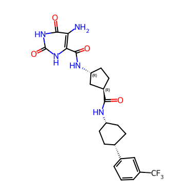 Nc1c(C(=O)N[C@@H]2CC[C@@H](C(=O)N[C@H]3CC[C@@H](c4cccc(C(F)(F)F)c4)CC3)C2)[nH]c(=O)[nH]c1=O